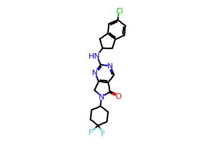 O=C1c2cnc(NC3Cc4ccc(Cl)cc4C3)nc2CN1C1CCC(F)(F)CC1